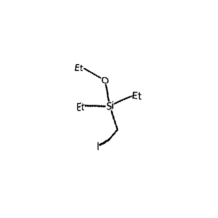 CCO[Si](CC)(CC)CI